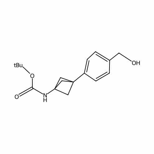 CC(C)(C)OC(=O)NC12CC(c3ccc(CO)cc3)(C1)C2